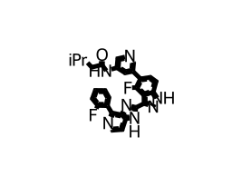 CC(C)CC(=O)Nc1cncc(-c2ccc3[nH]nc(-c4nc5c(-c6ccccc6F)nccc5[nH]4)c3c2F)c1